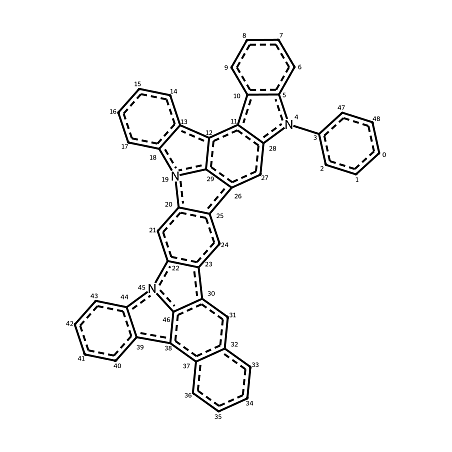 c1ccc(-n2c3ccccc3c3c4c5ccccc5n5c6cc7c(cc6c(cc32)c45)c2cc3ccccc3c3c4ccccc4n7c23)cc1